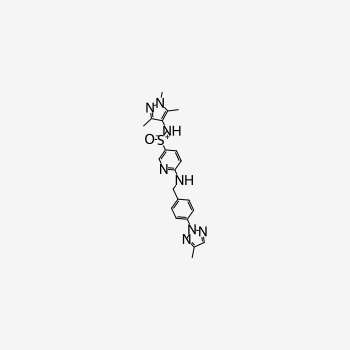 Cc1cnn(-c2ccc(CNc3ccc([S+]([O-])Nc4c(C)nn(C)c4C)cn3)cc2)n1